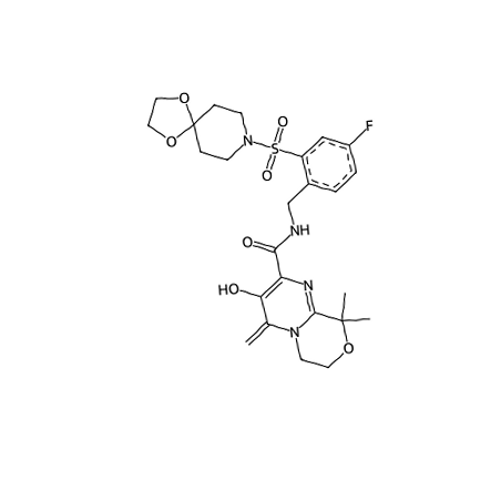 C=C1C(O)=C(C(=O)NCc2ccc(F)cc2S(=O)(=O)N2CCC3(CC2)OCCO3)N=C2N1CCOC2(C)C